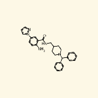 Nc1ccc(-n2cccn2)cc1C(=O)NCC1CCN(C(c2ccccc2)c2ccccc2)CC1